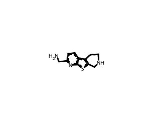 NCc1ccc2c3c(sc2n1)CNCC3